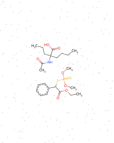 CCCCC(CCC)(NC(C)=O)C(=O)O.CCOC(=O)C(SP(=S)(OC)OC)c1ccccc1